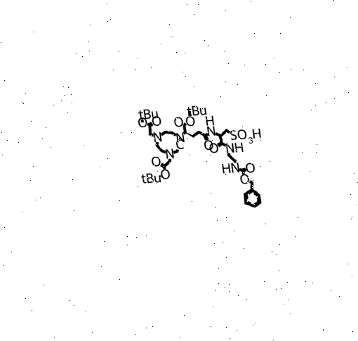 CC(C)(C)OC(=O)CN1CCN(CC(=O)OC(C)(C)C)CCN([C@H](CCC(=O)NC(CS(=O)(=O)O)C(=O)NCCNC(=O)OCc2ccccc2)C(=O)OC(C)(C)C)CC1